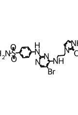 NS(=O)(=O)c1ccc(Nc2ncc(Br)c(NCCn3cc[nH]c3=O)n2)cc1